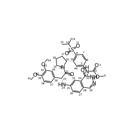 COC(=O)Nc1ccc(S(=O)(=O)C(C)C)c([C@H]2CCCN2C(=O)[C@H](Nc2ccc3cn[nH]c(=O)c3c2)c2ccc(OC)c(OC)c2)c1